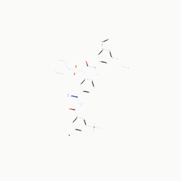 CCOc1cc(C(Nc2ccc(C(=N)NC(=O)c3cc(C(F)(F)F)cc(C(F)(F)F)c3)cc2)C(=O)NS(=O)(=O)N2CCOCC2)cc2c(C)coc12